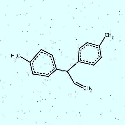 C=C[C](c1ccc(C)cc1)c1ccc(C)cc1